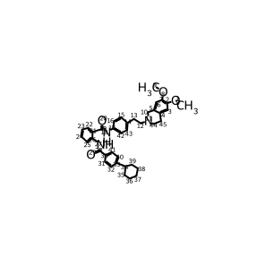 COc1cc2c(cc1OC)CN(CCc1ccc(NC(=O)c3ccccc3NC(=O)c3ccc(C4CCCCC4)cc3)cc1)CC2